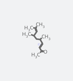 CC(=O)/C=C/C(C)CC(C)C=C(C)C